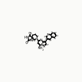 Nc1cc(N2CCCC3(C2)NC(=O)NC3=O)nc2c(-c3cnc4ccccc4c3)cnn12